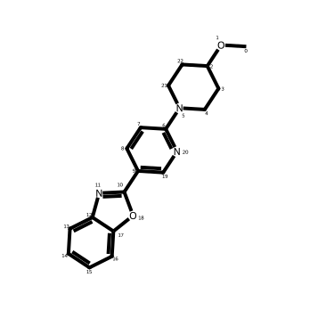 COC1CCN(c2ccc(-c3nc4ccccc4o3)cn2)CC1